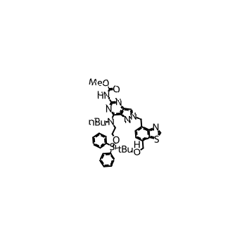 CCCCN(CCO[Si](c1ccccc1)(c1ccccc1)C(C)(C)C)c1nc(NC(=O)OC)nc2cn(Cc3ccc(CO)c4scnc34)nc12